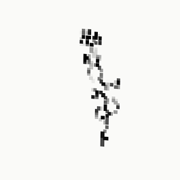 CC(C)(C)OC(=O)n1cc2c(n1)CCC(N(C(=O)C1=C3CCN(CCF)C3CC=C1)C1CC1)C2